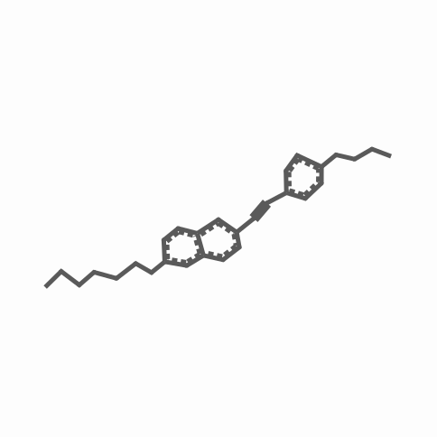 CCCCCCCc1ccc2cc(C#Cc3ccc(CCCC)cc3)ccc2c1